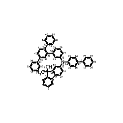 CC1(C)c2ccccc2-c2ccc(N(c3ccc(-c4ccccc4)cc3)c3cccc(-c4cc(-c5ccccc5)ccc4-c4ccccc4)c3)cc21